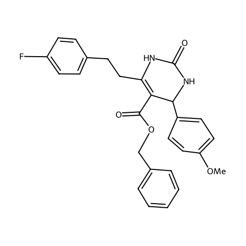 COc1ccc(C2NC(=O)NC(CCc3ccc(F)cc3)=C2C(=O)OCc2ccccc2)cc1